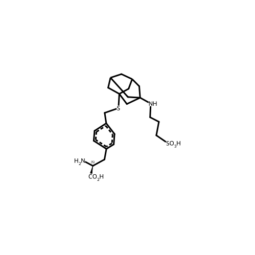 N[C@@H](Cc1ccc(CSC23CC4CC(CC(NCCCS(=O)(=O)O)(C4)C2)C3)cc1)C(=O)O